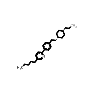 CCCCCc1ccc(-c2ccc(CC[C@H]3CC[C@H](CCC)CC3)cc2)nc1